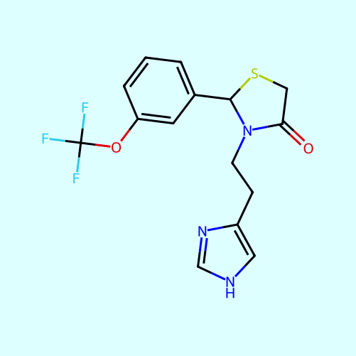 O=C1CSC(c2cccc(OC(F)(F)F)c2)N1CCc1c[nH]cn1